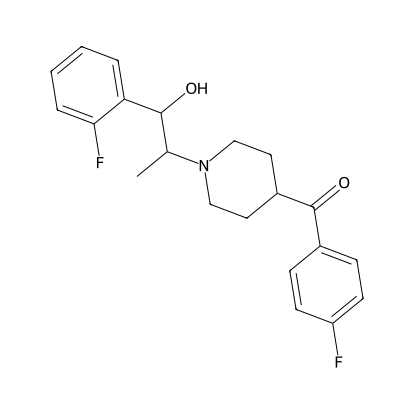 CC(C(O)c1ccccc1F)N1CCC(C(=O)c2ccc(F)cc2)CC1